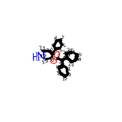 O=C(OC1(c2ccccc2)CCNCC1)C(c1ccccc1)c1ccccc1